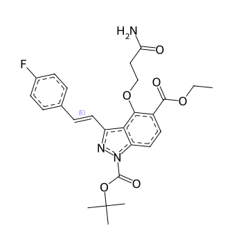 CCOC(=O)c1ccc2c(c(/C=C/c3ccc(F)cc3)nn2C(=O)OC(C)(C)C)c1OCCC(N)=O